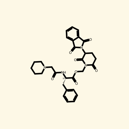 O=C(CN1CCCCC1)N[C@@H](Cc1ccccc1)C(=O)OCN1C(=O)CCC(N2C(=O)c3ccccc3C2=O)C1=O